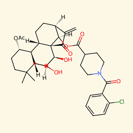 C=C1C(=O)[C@]23[C@H](OC(=O)C4CCN(C(=O)c5ccccc5Cl)CC4)[C@H]1CC[C@H]2[C@@]12CO[C@]3(O)[C@@H](O)[C@@H]1C(C)(C)CC[C@@H]2OC(C)=O